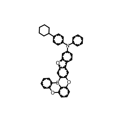 c1ccc(N(c2ccc(C3CCCCC3)cc2)c2ccc3c(c2)oc2cc4c(cc23)Oc2cccc3c2B4c2ccccc2O3)cc1